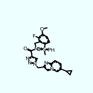 COc1ccc(S(C)(=O)=P)c(CNC(=O)c2cn(Cc3cn4cc(C5CC5)ccc4n3)nn2)c1F